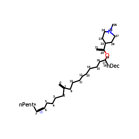 C=C(CCCC/C=C\CCCCC)CCCCCCCCC(CCCCCCCCCC)OC(=C)C1CCN(C)CC1